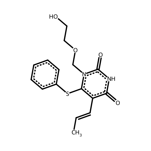 CC=Cc1c(Sc2ccccc2)n(COCCO)c(=O)[nH]c1=O